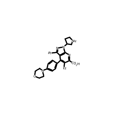 CCc1c(C(=O)O)nc2c(c(C(C)C)nn2C2CCNC2)c1-c1ccc(N2CCOCC2)cc1